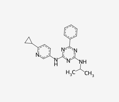 CC(C)Nc1nc(Nc2ccc(C3CC3)nc2)nc(-c2ccccc2)n1